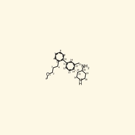 COCCCc1ccccc1-c1ccc([C@H]2CNCCC2N)c(C)c1